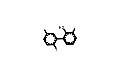 Oc1c(Cl)cccc1-c1cc(F)ccc1F